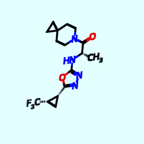 C[C@H](Nc1nnc([C@@H]2C[C@@H]2C(F)(F)F)o1)C(=O)N1CCC2(CC1)CC2